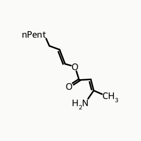 CCCCCCC=COC(=O)/C=C(/C)N